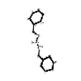 C1CCC(COPOCC2CCCCC2)CC1